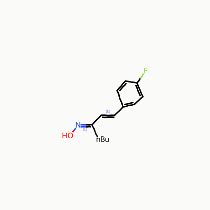 CCCCC(/C=C/c1ccc(F)cc1)=N\O